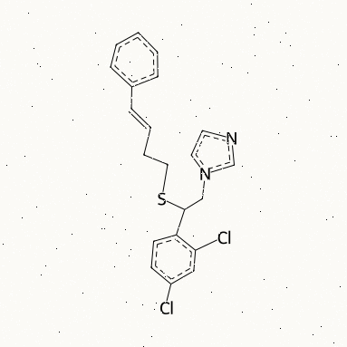 Clc1ccc(C(Cn2ccnc2)SCCC=Cc2ccccc2)c(Cl)c1